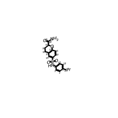 CC(C)c1ccc(NS(=O)(=O)c2ccc3c(c2)CCC(C(N)=O)O3)cc1